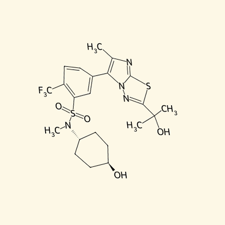 Cc1nc2sc(C(C)(C)O)nn2c1-c1ccc(C(F)(F)F)c(S(=O)(=O)N(C)[C@H]2CC[C@H](O)CC2)c1